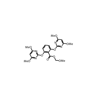 COCOC(=O)c1c(Oc2nc(OC)cc(OC)n2)cccc1Oc1nc(OC)cc(OC)n1